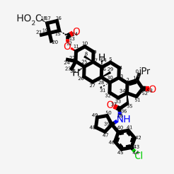 CC(C)C1=C2C3CC[C@@H]4[C@@]5(C)CC[C@H](OC(=O)[C@H]6C[C@@H](C(=O)O)C6(C)C)C(C)(C)[C@@H]5CC[C@@]4(C)[C@]3(C)CC[C@@]2(CC(=O)NC2(c3ccc(Cl)cc3)CCCC2)CC1=O